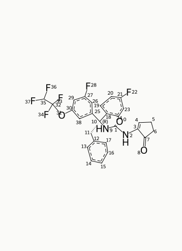 O=C(NC1=CCCC1=O)N[C@](Cc1ccccc1)(c1ccc(F)cc1)c1cc(F)cc(OC(F)(F)C(F)F)c1